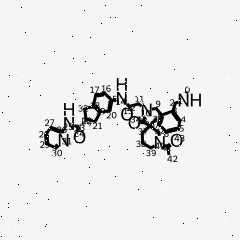 CNCc1ccccc1CN(CC(=O)Nc1ccc2c(c1)C[C@H](C(=O)Nc1ccccn1)C2)C(=O)C1(C)CCCN(C(C)=O)C1